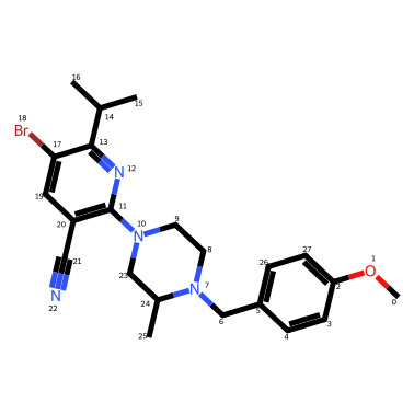 COc1ccc(CN2CCN(c3nc(C(C)C)c(Br)cc3C#N)CC2C)cc1